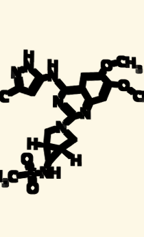 COc1cc2nc(N3C[C@@H]4C(NS(C)(=O)=O)[C@@H]4C3)nc(Nc3cc(C)n[nH]3)c2cc1OC